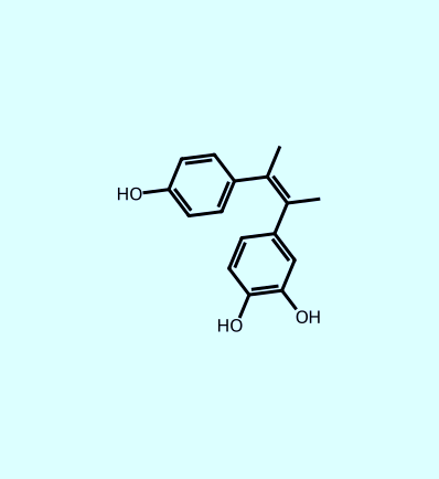 CC(=C(C)c1ccc(O)c(O)c1)c1ccc(O)cc1